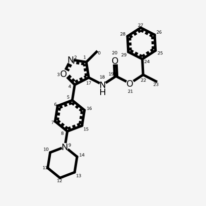 Cc1noc(-c2ccc(N3CC[CH]CC3)cc2)c1NC(=O)OC(C)c1ccccc1